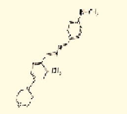 CNc1ccc(/C=N/N=C/C2=CC=C(N3CCOCC3)CC2C)cc1